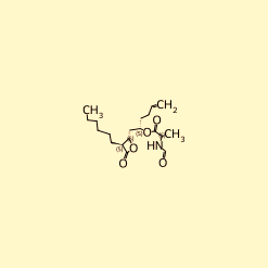 C=CCC[C@@H](C[C@@H]1OC(=O)[C@H]1CCCCCC)OC(=O)[C@H](C)NC=O